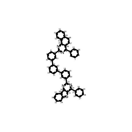 c1ccc(-c2nc(-c3cccc(-c4cccc(-c5cccc(-c6nc(-c7ccccc7)c7sc8ccccc8c7n6)c5)c4)c3)nc3c2ccc2ccccc23)cc1